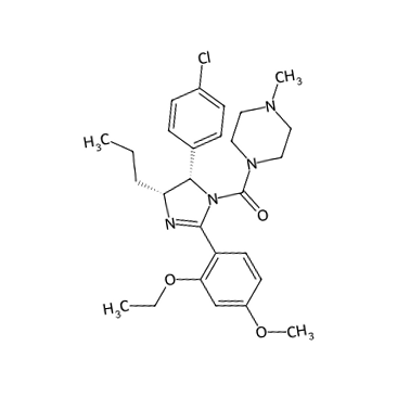 CCC[C@H]1N=C(c2ccc(OC)cc2OCC)N(C(=O)N2CCN(C)CC2)[C@H]1c1ccc(Cl)cc1